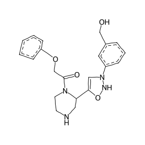 O=C(COc1ccccc1)N1CCNCC1C1=CN(c2cccc(CO)c2)NO1